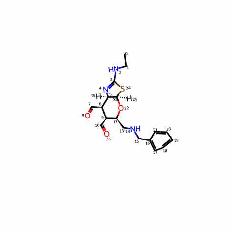 CCNC1=N[C@@H]2[C@H](C=O)[C@H](C=O)[C@H](CNCc3ccccc3)O[C@@H]2S1